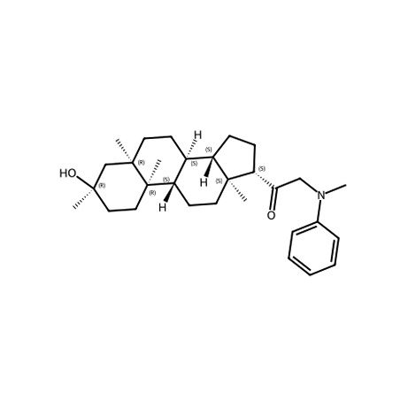 CN(CC(=O)[C@H]1CC[C@H]2[C@@H]3CC[C@]4(C)C[C@](C)(O)CC[C@]4(C)[C@H]3CC[C@]12C)c1ccccc1